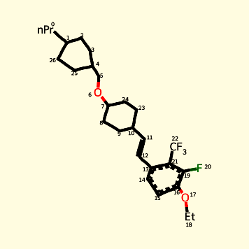 CCCC1CCC(COC2CCC(/C=C/c3ccc(OCC)c(F)c3C(F)(F)F)CC2)CC1